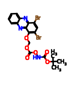 CC(C)(C)OC(=O)NOC(=O)OCOc1c(Br)cc(Br)c2nc3ccccc3nc12